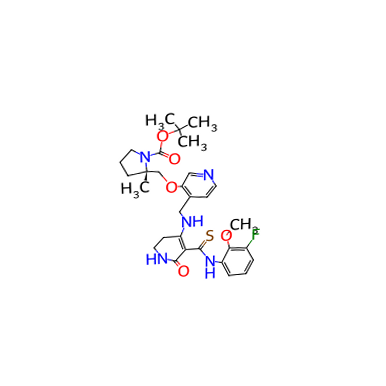 COc1c(F)cccc1NC(=S)C1=C(NCc2ccncc2OC[C@]2(C)CCCN2C(=O)OC(C)(C)C)CCNC1=O